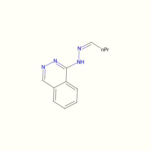 CCC/C=N\Nc1nncc2ccccc12